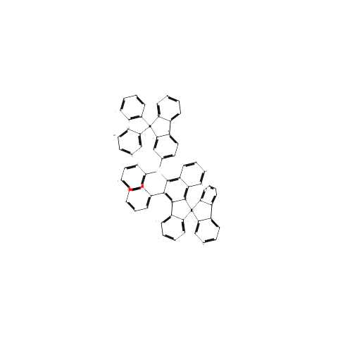 c1ccc(-c2c3c(c4ccccc4c2N(c2ccccc2)c2ccc4c(c2)C(c2ccccc2)(c2ccccc2)c2ccccc2-4)C2(c4ccccc4-c4ccccc42)c2ccccc2-3)cc1